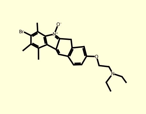 CCN(CC)CCOc1ccc2c(c1)CC1=[N+]([O-])c3c(C)c(Br)c(C)c(C)c3C1=C2